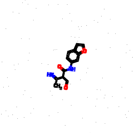 CC(=N)C(C=O)C(=O)Nc1ccc2ccoc2c1